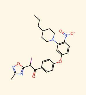 CCCC1CCN(c2cc(Oc3ccc(C(=O)C(I)c4nc(C)no4)cc3)ccc2[N+](=O)[O-])CC1